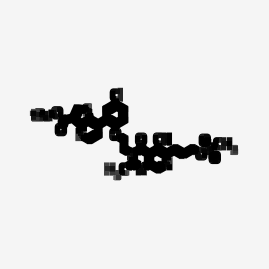 Cc1nc2cnc(/C=C/COS(C)(=O)=O)c(C#N)c2c(=O)n1CCOc1ccc(Cl)cc1-c1ccnc2c(C(=O)OC(C)(C)C)csc12